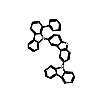 c1ccc(-c2cccc3c4ccccc4n(-c4ccc5sc6ccc(-n7c8ccccc8c8ccccc87)cc6c5c4)c23)cc1